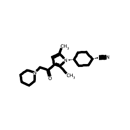 Cc1cc(C(=O)CN2CCCCC2)c(C)n1[C@H]1CC[C@@H](C#N)CC1